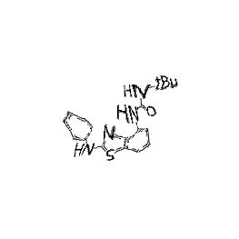 CC(C)(C)NC(=O)Nc1cccc2sc(Nc3ccccc3)nc12